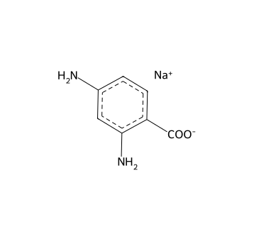 Nc1ccc(C(=O)[O-])c(N)c1.[Na+]